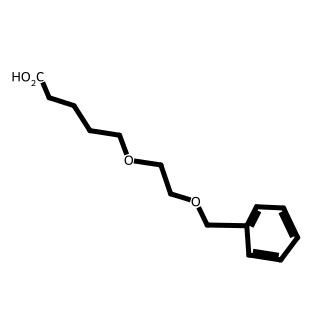 O=C(O)CCCCOCCOCc1ccccc1